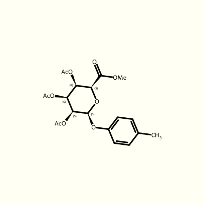 COC(=O)[C@H]1O[C@@H](Oc2ccc(C)cc2)[C@@H](OC(C)=O)[C@@H](OC(C)=O)[C@H]1OC(C)=O